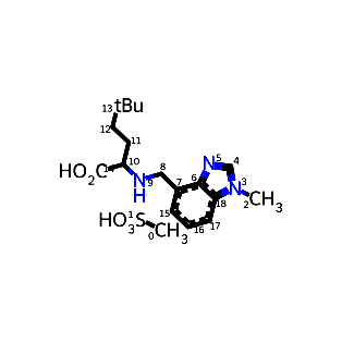 CS(=O)(=O)O.Cn1cnc2c(CNC(CCC(C)(C)C)C(=O)O)cccc21